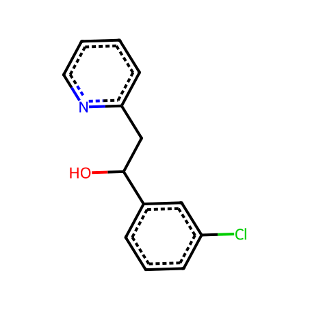 OC(Cc1ccccn1)c1cccc(Cl)c1